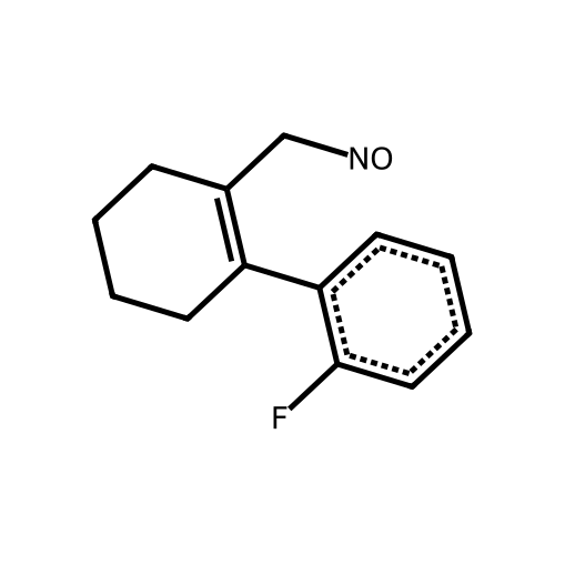 O=NCC1=C(c2ccccc2F)CCCC1